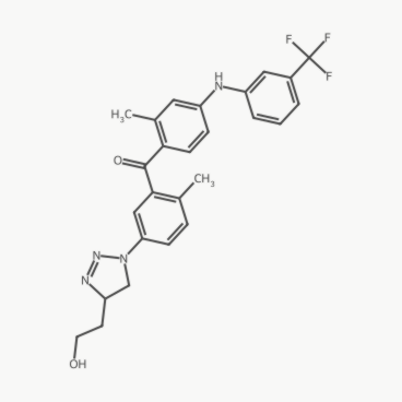 Cc1cc(Nc2cccc(C(F)(F)F)c2)ccc1C(=O)c1cc(N2CC(CCO)N=N2)ccc1C